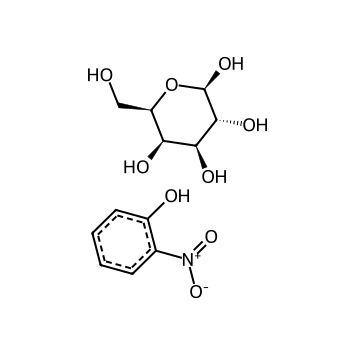 O=[N+]([O-])c1ccccc1O.OC[C@H]1O[C@@H](O)[C@H](O)[C@@H](O)[C@H]1O